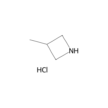 CC1CNC1.Cl